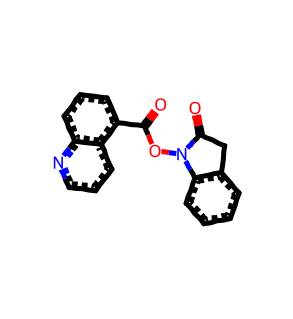 O=C(ON1C(=O)Cc2ccccc21)c1cccc2ncccc12